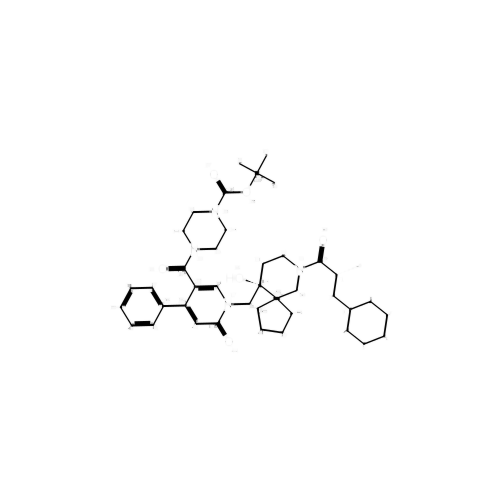 C[C@H](CC1CCCCC1)C(=O)N1CC[C@@](O)(Cn2cc(C(=O)N3CCN(C(=O)OC(C)(C)C)CC3)c(-c3ccccc3)cc2=O)C2(CCCC2)C1